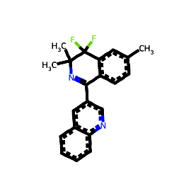 Cc1ccc2c(c1)C(F)(F)C(C)(C)N=C2c1cnc2ccccc2c1